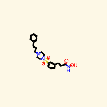 O=C(C=Cc1cccc(S(=O)(=O)N2CCN(CC=Cc3ccccc3)CC2)c1)NO